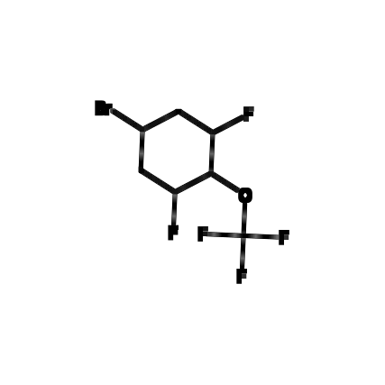 FC1CC(Br)CC(F)C1OC(F)(F)F